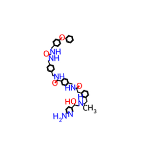 C[C@H](Cc1cccc(CC(=O)NCc2ccc(C(=O)NCc3ccc(CNC(=O)NCc4ccc(Oc5ccccc5)cc4)cc3)cc2)c1)NC[C@H](O)c1ccc(N)nc1